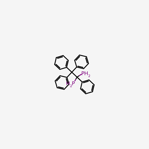 PC(P)(c1ccccc1)C(c1ccccc1)(c1ccccc1)c1ccccc1